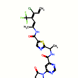 C=C/C(Cl)=C(\C=C(/C)NC(=O)c1cnc(C(C)NC(=O)c2cc(N3CCCC3=O)ncn2)s1)C(F)(F)F